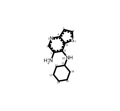 Nc1cnc2ccsc2c1NC1CC[CH]CC1